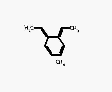 C.CC=c1ccccc1=CC